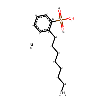 CCCCCCCCc1ccccc1S(=O)(=O)O.[Ni]